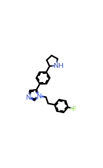 Fc1ccc(CCn2cncc2-c2ccc(C3CCCN3)cc2)cc1